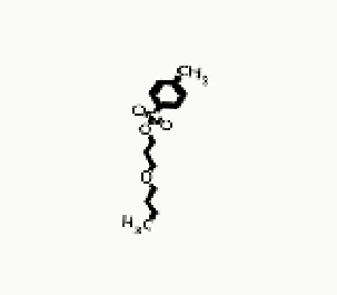 CCCCOCCCOS(=O)(=O)c1ccc(C)cc1